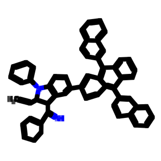 C=CC1C(C(=N)C2=CC=CCC2)c2cc(-c3ccc4c(-c5ccc6ccccc6c5)c5ccccc5c(-c5ccc6ccccc6c5)c4c3)ccc2N1c1ccccc1